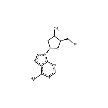 CC1C[C@H](n2cnc3c(N)ncnc32)O[C@@H]1CO